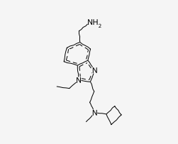 CCn1c(CCN(C)C2CCC2)nc2cc(CN)ccc21